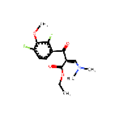 CCOC(=O)/C(=C\N(C)C)C(=O)c1ccc(F)c(OC)c1F